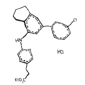 CCOC(=O)Cc1ccc(Nc2cc(-c3cccc(Cl)c3)cc3c2CCC3)nc1.Cl